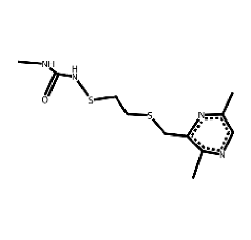 CNC(=O)NSCCSCc1nc(C)cnc1C